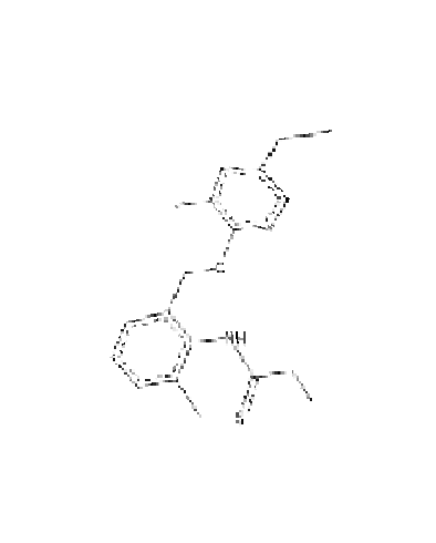 CCC(=S)Nc1c(C)cccc1COc1ccc(CC)cc1C